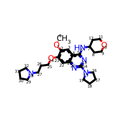 COc1cc2c(NC3CCOCC3)nc(N3CCCC3)nc2cc1OCCCN1CCCC1